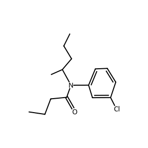 CCCC(=O)N(c1cccc(Cl)c1)C(C)CCC